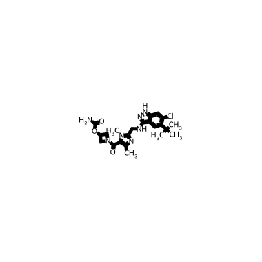 Cc1nc(CNc2n[nH]c3cc(Cl)c(C(C)(C)C)cc23)n(C)c1C(=O)N1CC(OC(N)=O)C1